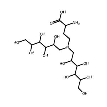 NC(CCN(CC(O)C(O)C(O)C(O)CO)CC(O)C(O)C(O)C(O)CO)C(=O)O